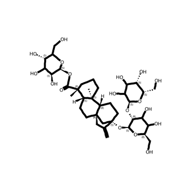 C=C1C[C@@]23CC[C@H]4[C@@](C)(CCC[C@@]4(C)C(=O)O[C@@H]4OC(CO)[C@@H](O)C(O)[C@@H]4O)[C@@H]2CC[C@]1(O[C@@H]1O[C@H](CO)C(O)C(O)[C@H]1O[C@@H]1O[C@@H](CO)[C@@H](O)C(O)C1O)C3